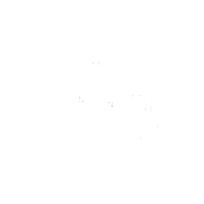 C=C(CC(C)(C)C)N1CCN(CC2=CCCC=C2)C(CC)C1